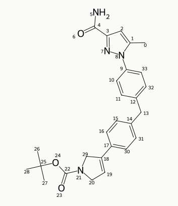 Cc1cc(C(N)=O)nn1-c1ccc(Cc2ccc(C3=CCN(C(=O)OC(C)(C)C)C3)cc2)cc1